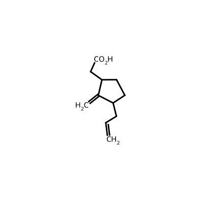 C=CCC1CCC(CC(=O)O)C1=C